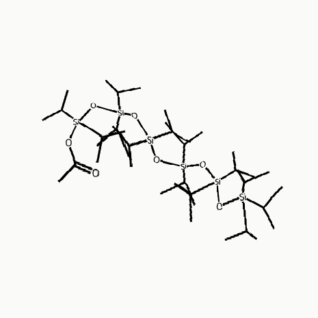 CC(=O)O[Si](O[Si](O[Si](O[Si](O[Si](O[Si](C(C)C)(C(C)C)C(C)C)(C(C)C)C(C)C)(C(C)C)C(C)C)(C(C)C)C(C)C)(C(C)C)C(C)C)(C(C)C)C(C)C